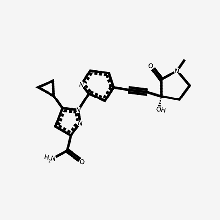 CN1CC[C@@](O)(C#Cc2ccnc(-n3nc(C(N)=O)cc3C3CC3)c2)C1=O